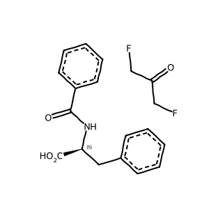 O=C(CF)CF.O=C(N[C@@H](Cc1ccccc1)C(=O)O)c1ccccc1